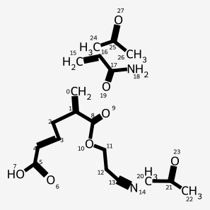 C=C(CC=CC(=O)O)C(=O)OCCC#N.C=CC(N)=O.CC(C)=O.CC(C)=O